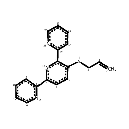 C=CCSc1ccc(-c2ccccn2)nc1-c1ccccn1